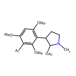 COc1cc(OC)c(C2CCN(C)C2OC(C)=O)c(OC)c1C(C)=O